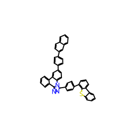 c1ccc2cc(-c3ccc(-c4ccc5c(c4)c4ccccc4c4nnc(-c6ccc(-c7cccc8c7sc7ccccc78)cc6)n54)cc3)ccc2c1